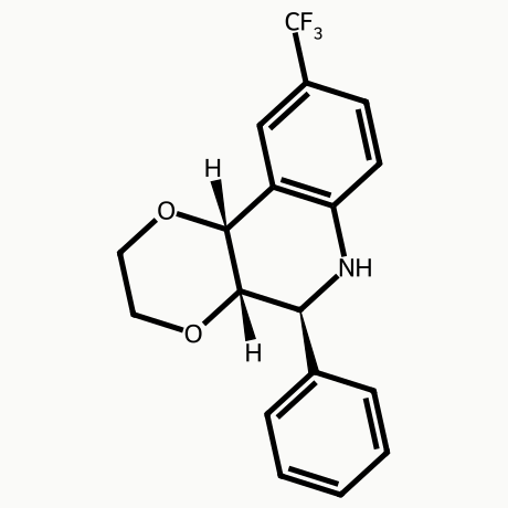 FC(F)(F)c1ccc2c(c1)[C@H]1OCCO[C@H]1[C@H](c1ccccc1)N2